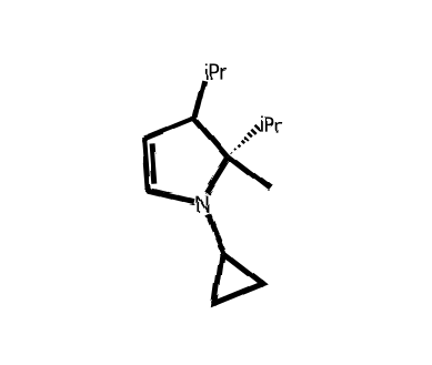 CC(C)C1C=CN(C2CC2)[C@@]1(C)C(C)C